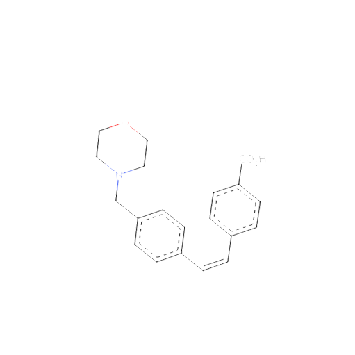 O=C(O)c1ccc(/C=C\c2ccc(CN3CCOCC3)cc2)cc1